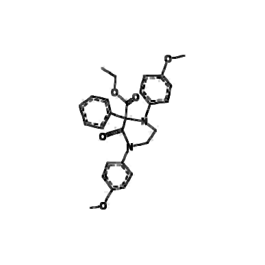 CCOC(=O)C1(c2ccccc2)C(=O)N(c2ccc(OC)cc2)CCN1c1ccc(OC)cc1